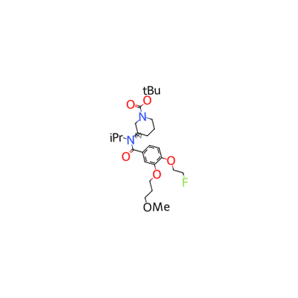 COCCCOc1cc(C(=O)N(C(C)C)[C@@H]2CCCN(C(=O)OC(C)(C)C)C2)ccc1OCCF